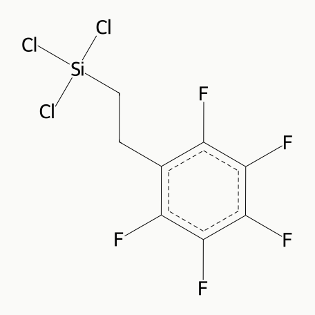 Fc1c(F)c(F)c(CC[Si](Cl)(Cl)Cl)c(F)c1F